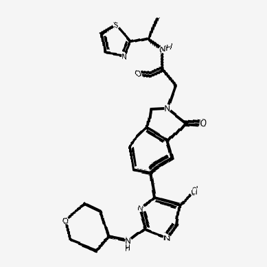 CC(NC(=O)CN1Cc2ccc(-c3nc(NC4CCOCC4)ncc3Cl)cc2C1=O)c1nccs1